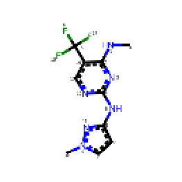 CNc1nc(Nc2ccn(C)n2)ncc1C(F)(F)F